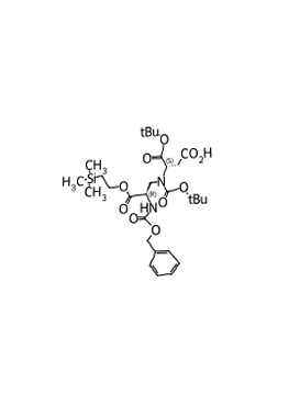 CC(C)(C)OC(=O)[C@H](CC(=O)O)N(C[C@@H](NC(=O)OCc1ccccc1)C(=O)OCC[Si](C)(C)C)C(=O)OC(C)(C)C